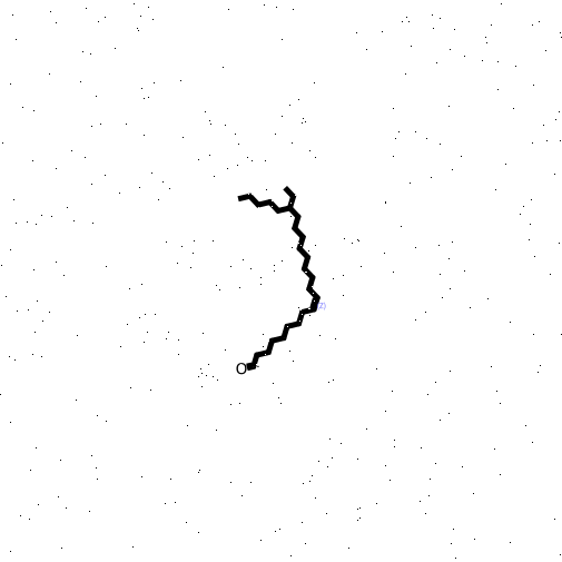 CCCCCC(CC)CCCCCCCC/C=C\CCCCCCC[C]=O